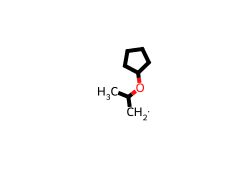 [CH2]C(C)OC1CCCC1